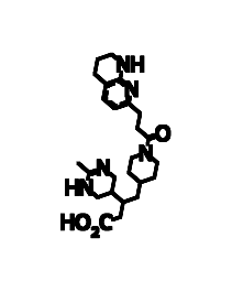 CC1=NCC(C(CC(=O)O)CC2CCN(C(=O)CCc3ccc4c(n3)NCCC4)CC2)CN1